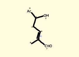 CC(=O)C(O)C/C=C(\C)C=O